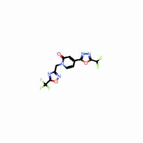 O=c1cc(-c2nnc(C(F)F)o2)ccn1Cc1noc(C(F)(F)F)n1